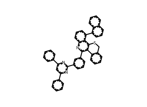 c1ccc(-c2cc(-c3ccccc3)nc(-c3cccc(-c4nc5cccc(-c6cccc7ccccc67)c5c5c4-c4ccccc4CS5)c3)n2)cc1